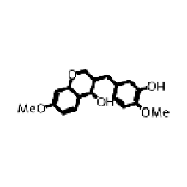 COC1=CC2OCC(CC3C=CC(OC)=C(O)C3)C(O)C2C=C1